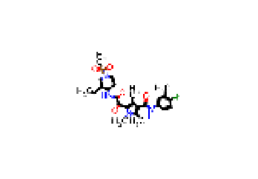 CCC1CN(S(C)(=O)=O)CCC1NC(=O)C(=O)c1c(C)c(C(=O)Nc2ccc(F)c(C)c2)c(C)n1C